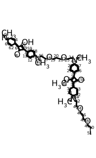 CN=C1C=CC(=C2C(=O)C(c3ccc(N(C)CCOCCCOCCN(C)c4ccc(C5=C(OC)C(=C6C=CC(=[N+](C)CCOCCCOCCI)C=C6)C5=O)cc4)cc3)=C2O)C=C1